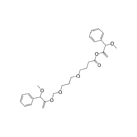 C=C(OCOCCCOCCCC(=O)OC(=C)C(OC)c1ccccc1)C(OC)c1ccccc1